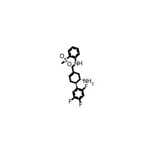 CS(=O)(=O)c1ccccc1NCC1=CC[C@H](c2cc(F)c(F)cc2F)[C@@H](N)C1